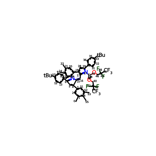 Cc1cc(C2=CC(c3ccc(C(C)(C)C)cc3)=N/C2=C\c2c(-c3cc(C)c(C)c(C)c3)cc(-c3ccc(C(C)(C)C)cc3)n2B(OCC(F)(F)C(F)(F)F)OCC(F)(F)C(F)(F)F)cc(C)c1C